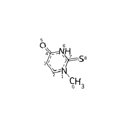 Cn1ccc(=O)[nH]c1=S